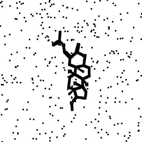 COC1CC[C@H]2[C@@H]3CCC4CC(=O)C(=COC(C)=O)C[C@]4(C)[C@@H]3CC[C@]12C